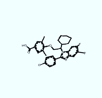 Cc1cc(C(=O)O)cc(C)c1OCC(C1CCCCC1)n1c(-c2ccc(Cl)cc2)nc2cc(F)c(F)cc21